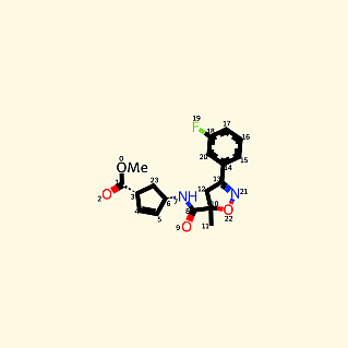 COC(=O)[C@H]1C=C[C@@H](NC(=O)C2(C)CC(c3cccc(F)c3)=NO2)C1